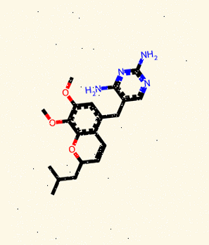 COc1cc(Cc2cnc(N)nc2N)c2c(c1OC)OC(CC(C)C)C=C2